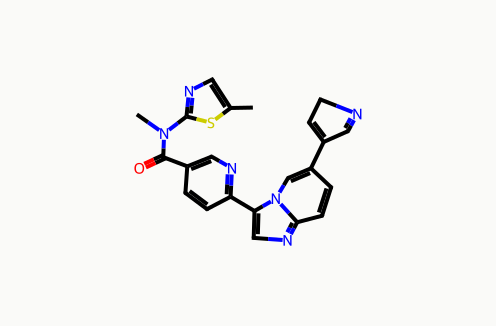 Cc1cnc(N(C)C(=O)c2ccc(-c3cnc4ccc(C5=CCN=C5)cn34)nc2)s1